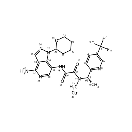 C[C@H](c1ccc(C(F)(F)F)cn1)N(C)C(=O)C(=O)Nc1cnc(N)c2cnn(C3CCCCO3)c12.[Cu]